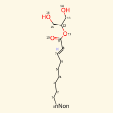 CCCCCCCCCCCCCCC/C=C/C(=O)OC(CO)CO